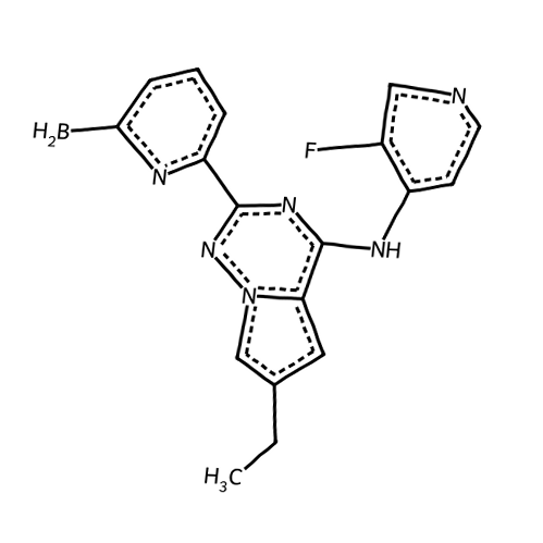 Bc1cccc(-c2nc(Nc3ccncc3F)c3cc(CC)cn3n2)n1